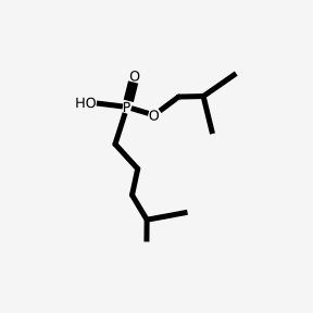 CC(C)CCCP(=O)(O)OCC(C)C